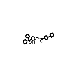 O=C(CCCN1CCC(C(O)(c2ccccc2)c2ccccc2)CC1)c1ccc(-c2ccccc2)cc1